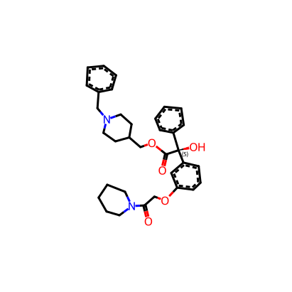 O=C(COc1cccc([C@](O)(C(=O)OCC2CCN(Cc3ccccc3)CC2)c2ccccc2)c1)N1CCCCC1